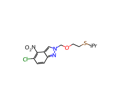 CC(C)SCCOCn1cc2c([N+](=O)[O-])c(Cl)ccc2n1